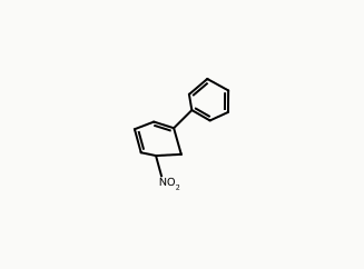 O=[N+]([O-])C1C=CC=C(c2ccccc2)C1